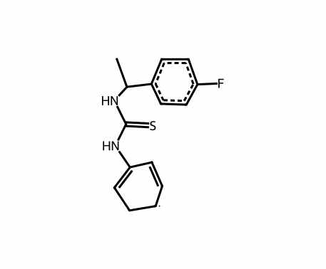 CC(NC(=S)NC1=CC[CH]C=C1)c1ccc(F)cc1